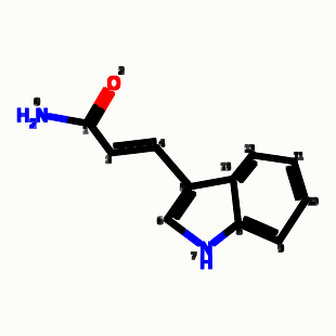 NC(=O)C=Cc1c[nH]c2ccccc12